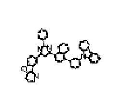 c1ccc(-c2nc(-c3ccc4oc5cccnc5c4c3)cc(-c3ccc(-c4cccc(-n5c6ccccc6c6ccccc65)c4)c4ccccc34)n2)cc1